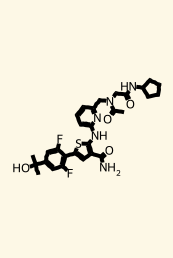 CC(=O)N(CC(=O)NC1CCCC1)Cc1cccc(Nc2sc(-c3c(F)cc(C(C)(C)O)cc3F)cc2C(N)=O)n1